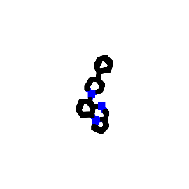 c1ccc(C2CCN(c3cccc4c3ncc3cccn34)CC2)cc1